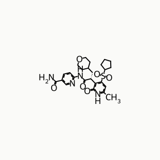 Cc1cc(S(=O)(=O)C2CCCC2)c([C@@H](CC2CCOCC2)C(=O)Nc2ccc(C(N)=O)cn2)c(=O)[nH]1